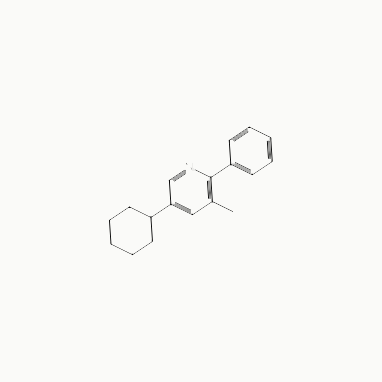 Cc1cc(C2CCCCC2)cnc1-c1ccccc1